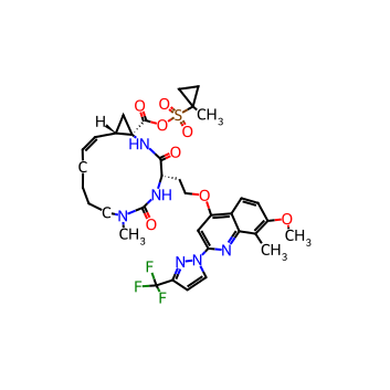 COc1ccc2c(OCC[C@@H]3NC(=O)N(C)CCCC/C=C\[C@@H]4C[C@@]4(C(=O)OS(=O)(=O)C4(C)CC4)NC3=O)cc(-n3ccc(C(F)(F)F)n3)nc2c1C